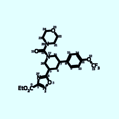 CCOC(=O)c1noc(C2CC(c3ccc(OC(F)(F)F)cc3)CN(C(=O)N3CCOCC3)C2)n1